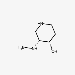 BN[C@@H]1CNCC[C@@H]1O